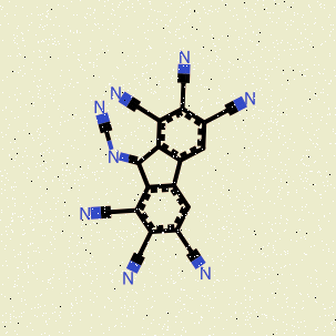 N#CN=C1c2c(cc(C#N)c(C#N)c2C#N)-c2cc(C#N)c(C#N)c(C#N)c21